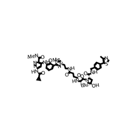 CNC(=O)c1nnc(NC(=O)C2CC2)cc1Nc1cccc(-c2ncn(CCNC(=O)CCC(=O)N[C@H](C(=O)N3C[C@H](O)C[C@H]3C(=O)NCc3ccc(-c4scnc4C)cc3)C(C)(C)C)n2)c1OC